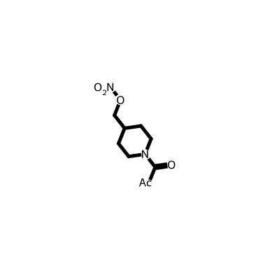 CC(=O)C(=O)N1CCC(CO[N+](=O)[O-])CC1